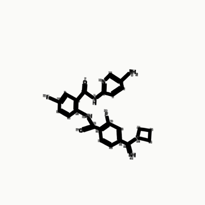 Bc1ccc(NC(=O)c2cc(F)ccc2NC(=O)c2ccc(C(=N)N3CCC3)cc2F)nc1